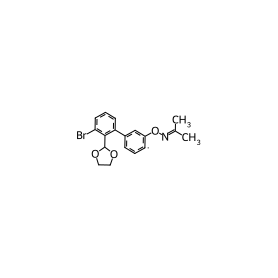 CC(C)=NOc1[c]ccc(-c2cccc(Br)c2C2OCCO2)c1